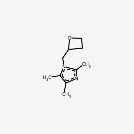 Cc1nc(C)n(CC2CCO2)c1C